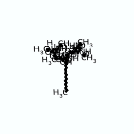 CCCCCCCCCCCCCCCCCC(=O)C(O)(C(O)C(=O)OC(C)OC(=O)c1c(I)c(NCC(C)=O)c(I)c(NC(C)=O)c1I)C(O)C(=O)OC(C)OC(=O)c1c(I)c(NCC(C)=O)c(I)c(NC(C)=O)c1I